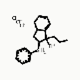 CCC[C]1([Ti+3])C2=CC=CCC2CC1[SiH2]c1ccccc1.[Cl-].[Cl-].[Cl-]